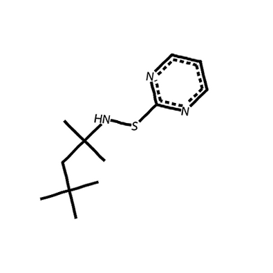 CC(C)(C)CC(C)(C)NSc1ncccn1